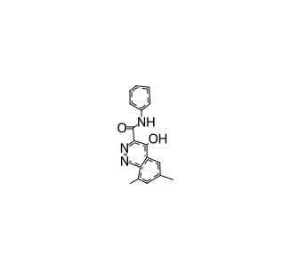 Cc1cc(C)c2nnc(C(=O)Nc3ccccc3)c(O)c2c1